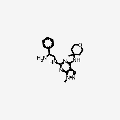 Cn1ncc2c(NC3(C)CCOCC3)nc(NCC(N)c3ccccc3)nc21